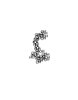 CC1(C)C[C@H]2C3=CC[C@@H]4[C@@]5(C)CC[C@H](O[C@@H]6O[C@H](C(=O)O)[C@@H](O)[C@H](O)[C@H]6O[C@@H]6O[C@H](CO)[C@H](O)[C@H](O)[C@H]6O[C@@H]6O[C@H](CO)[C@@H](O)[C@H](O)[C@H]6O)[C@](C)(CO)[C@@H]5CC[C@@]4(C)[C@]3(C)CC[C@@]2(C)[C@H](O[C@@H]2OC[C@H](O)[C@@H](O)[C@H]2O[C@@H]2O[C@H](CO)[C@@H](O)[C@@H](O)[C@H]2O)[C@@H]1O